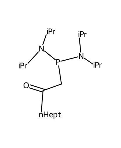 CCCCCCCC(=O)CP(N(C(C)C)C(C)C)N(C(C)C)C(C)C